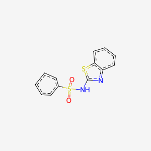 O=S(=O)(Nc1nc2ccccc2s1)c1ccccc1